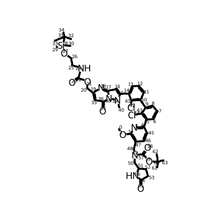 COc1nc(-c2cccc(-c3cccc(-c4cc5nc(COC(=O)NCCO[Si](C)(C)C(C)(C)C)cc(=O)n5n4C)c3Cl)c2Cl)ccc1CN(CC1CCC(=O)N1)C(=O)OC(C)(C)C